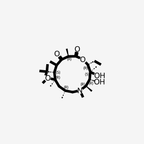 CC[C@H]1OC(=O)[C@H](C)C(=O)C(C)[C@@H](C(C)(C)C)[C@](C)(OC)C[C@@H](C)CN(C)[C@H](C)[C@@H](O)[C@]1(C)O